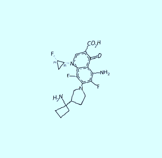 Nc1c(F)c(N2CCC(C3(N)CCC3)C2)c(F)c2c1c(=O)c(C(=O)O)cn2[C@@H]1C[C@@H]1F